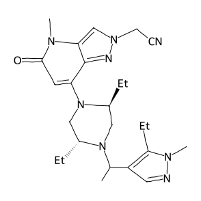 CCc1c(C(C)N2C[C@H](CC)N(c3cc(=O)n(C)c4cn(CC#N)nc34)C[C@H]2CC)cnn1C